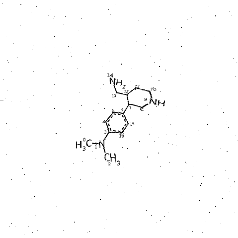 CN(C)c1ccc(C2CNC[CH]C2CN)cc1